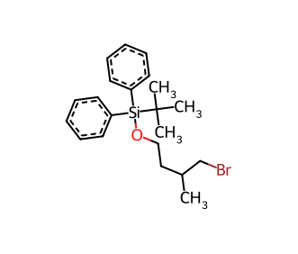 CC(CBr)CCO[Si](c1ccccc1)(c1ccccc1)C(C)(C)C